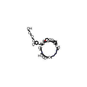 CO[C@H]1C[C@@H]2CC[C@@H](C)[C@@](O)(O2)C(=O)C(=O)N2CCCC[C@H]2C(=O)O[C@H]([C@H](C)C[C@@H]2CC[C@@H](OCCOCCOCCO)[C@H](OC)C2)CC(=O)[C@H](C)/C=C(\C)[C@@H](O)[C@@H](OC)C(=O)[C@H](C)C[C@H](C)/C=C/C=C/C=C/1C